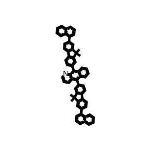 CC1(C)c2cc(-c3cccc4ccccc34)ccc2-c2ccc(-c3c4ccccc4c(-c4ccc5c(c4)C(C)(C)c4cc(-c6cccc7ccccc67)ccc4-5)c4ncccc34)cc21